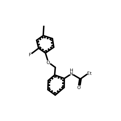 CCC(=O)Nc1ccccc1COc1ccc(C)cc1F